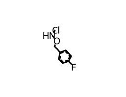 Fc1ccc(CONCl)cc1